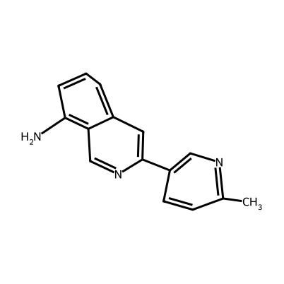 Cc1ccc(-c2cc3cccc(N)c3cn2)cn1